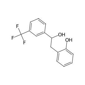 Oc1ccccc1CC(O)c1cccc(C(F)(F)F)c1